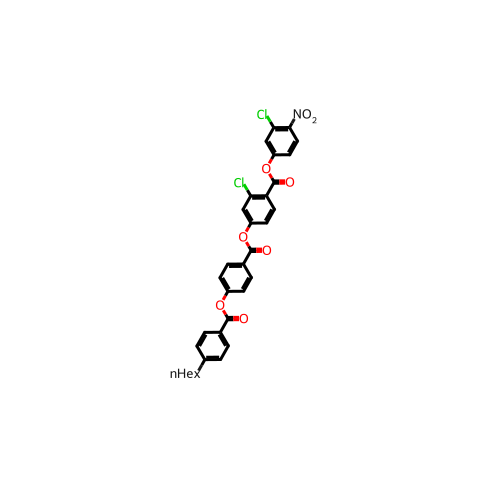 CCCCCCc1ccc(C(=O)Oc2ccc(C(=O)Oc3ccc(C(=O)Oc4ccc([N+](=O)[O-])c(Cl)c4)c(Cl)c3)cc2)cc1